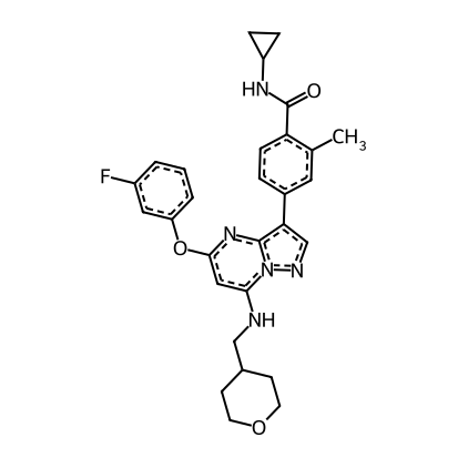 Cc1cc(-c2cnn3c(NCC4CCOCC4)cc(Oc4cccc(F)c4)nc23)ccc1C(=O)NC1CC1